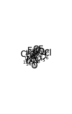 O=C(NCc1ccc(Cl)c(OC(F)(F)F)c1)c1cccn1-c1ncc(C(F)(F)F)cc1Cl